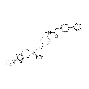 CCCN(CCC1CCC(NC(=O)Cc2ccc(-n3ccnc3)cc2)CC1)[C@H]1CCc2nc(N)sc2C1